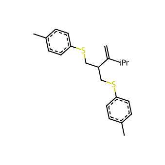 C=C(C(C)C)C(CSc1ccc(C)cc1)CSc1ccc(C)cc1